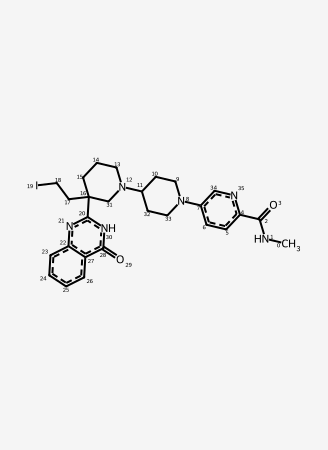 CNC(=O)c1ccc(N2CCC(N3CCCC(CCI)(c4nc5ccccc5c(=O)[nH]4)C3)CC2)cn1